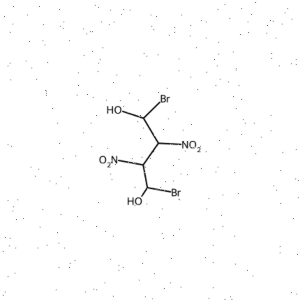 O=[N+]([O-])C(C(O)Br)C(C(O)Br)[N+](=O)[O-]